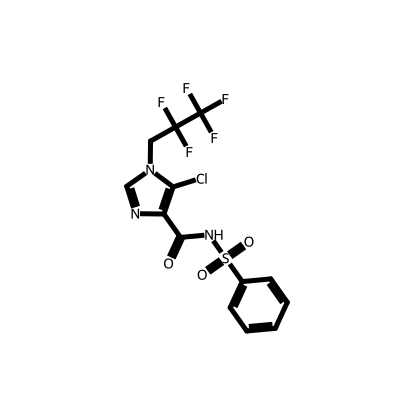 O=C(NS(=O)(=O)c1ccccc1)c1ncn(CC(F)(F)C(F)(F)F)c1Cl